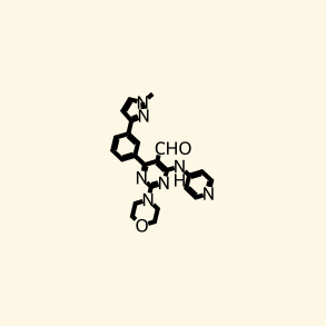 Cn1ccc(-c2cccc(-c3nc(N4CCOCC4)nc(Nc4ccncc4)c3C=O)c2)n1